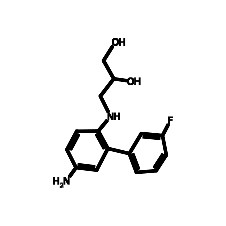 Nc1ccc(NCC(O)CO)c(-c2cccc(F)c2)c1